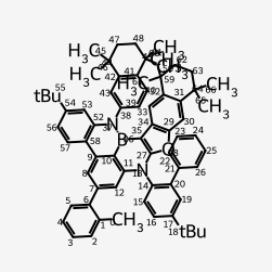 Cc1ccccc1-c1cc2c3c(c1)N(c1ccc(C(C)(C)C)cc1-c1ccccc1)c1oc4cc5c(cc4c1B3N(c1ccc3c(c1)C(C)(C)CCC3(C)C)c1cc(C(C)(C)C)ccc1-2)C(C)(C)CCC5(C)C